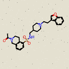 CC(=O)N1CCc2c(cccc2S(=O)(=O)NCC2CCN(CCc3coc4ccccc34)CC2)C1